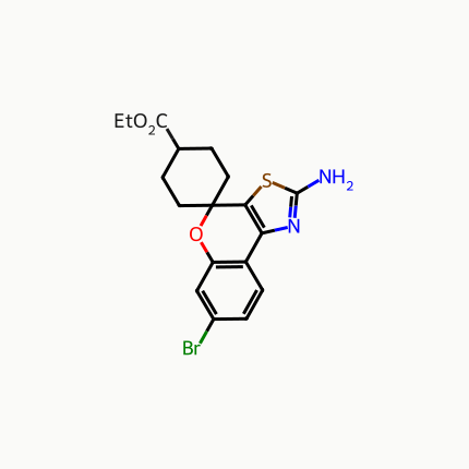 CCOC(=O)C1CCC2(CC1)Oc1cc(Br)ccc1-c1nc(N)sc12